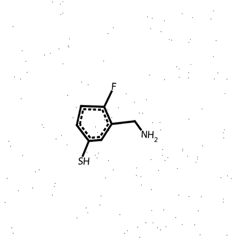 NCc1cc(S)ccc1F